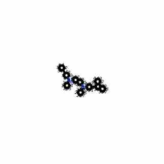 c1ccc(-c2ccc(N(c3ccccc3)c3ccc4ccc(N(c5ccccc5)c5ccc(-c6cc7ccccc7c7ccccc67)cc5)cc4c3)cc2)cc1